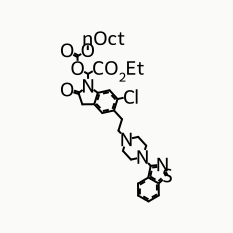 CCCCCCCCOC(=O)OC(C(=O)OCC)N1C(=O)Cc2cc(CCN3CCN(c4nsc5ccccc45)CC3)c(Cl)cc21